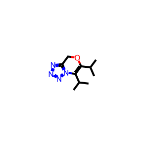 CC(C)C1=C(C(C)C)n2nnnc2CO1